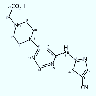 N#Cc1cnc([AsH]c2cc(N3CCN(CC(=O)O)CC3)ncn2)s1